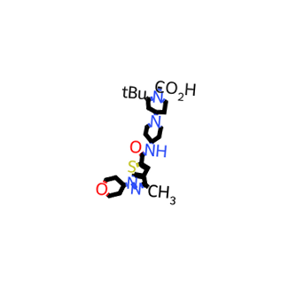 Cc1nn(C2CCOCC2)c2sc(C(=O)NC3CCN(C4CCN(C(=O)O)C(C(C)(C)C)C4)CC3)cc12